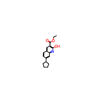 CCOC(=O)c1cc2ccc(C3CCCC3)cc2nc1O